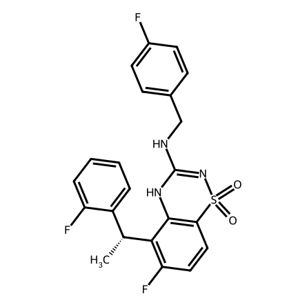 C[C@H](c1ccccc1F)c1c(F)ccc2c1NC(NCc1ccc(F)cc1)=NS2(=O)=O